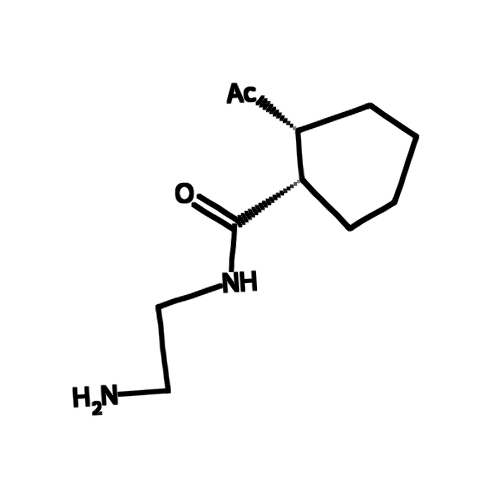 CC(=O)[C@@H]1CCCC[C@@H]1C(=O)NCCN